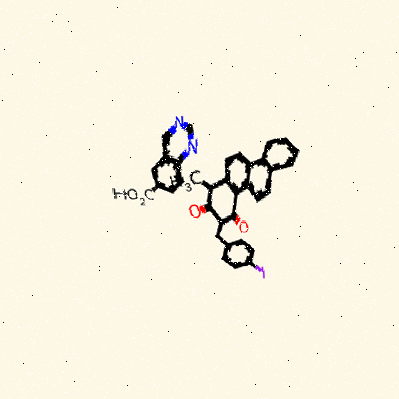 CC1C(=O)C(Cc2ccc(I)cc2)C(=O)c2c1ccc1c2ccc2ccccc21.O=C(O)c1ccc2ncncc2c1